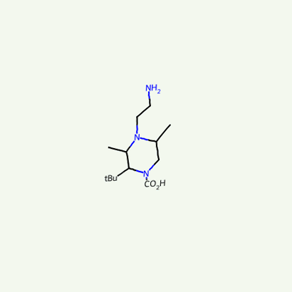 CC1CN(C(=O)O)C(C(C)(C)C)C(C)N1CCN